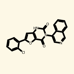 O=c1[nH]c2cc(-c3ccccc3Cl)oc2c(=O)n1-c1cncc2ccccc12